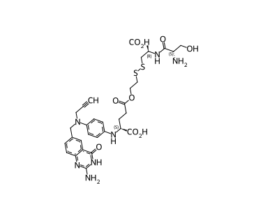 C#CCN(Cc1ccc2nc(N)[nH]c(=O)c2c1)c1ccc(N[C@@H](CCC(=O)OCCSSC[C@H](NC(=O)[C@@H](N)CO)C(=O)O)C(=O)O)cc1